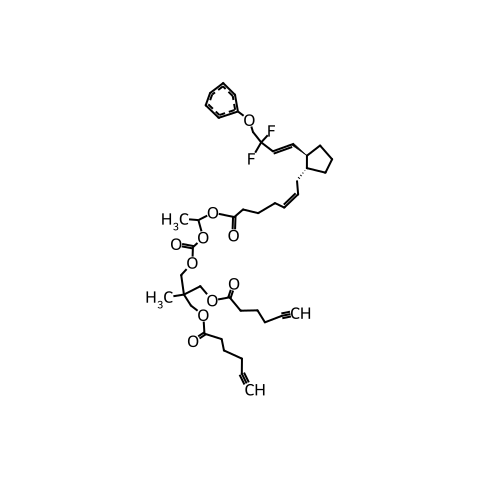 C#CCCCC(=O)OCC(C)(COC(=O)CCCC#C)COC(=O)OC(C)OC(=O)CCC/C=C\C[C@H]1CCC[C@@H]1/C=C/C(F)(F)COc1ccccc1